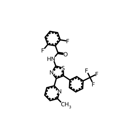 Cc1cccc(-c2nc(NC(=O)c3c(F)cccc3F)sc2-c2cccc(C(F)(F)F)c2)n1